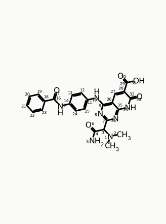 CN(C)C(C(N)=O)c1nc(Nc2ccc(NC(=O)c3ccccc3)cc2)c2cc(C(=O)O)c(=O)[nH]c2n1